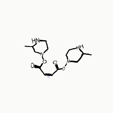 CC1CN(OC(=O)/C=C\C(=O)ON2CCNC(C)C2)CCN1